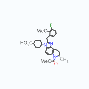 COC(=O)N1c2ccc3c(nc(Cc4cccc(F)c4OC)n3[C@H]3CC[C@H](C(=O)O)CC3)c2CC[C@@H]1C